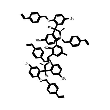 C=Cc1ccc(COc2ccc(C(C)(C)C)cc2C(O)(c2cc(C(C)(C)C)ccc2OCc2ccc(C=C)cc2)[C@@H](C)N=Cc2cc(C)cc(C=N[C@H](C)C(O)(c3cc(C(C)(C)C)ccc3OCc3ccc(C=C)cc3)c3cc(C(C)(C)C)ccc3OCc3ccc(C=C)cc3)c2O)cc1